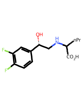 CCCC(NC[C@@H](O)c1ccc(F)c(F)c1)C(=O)O